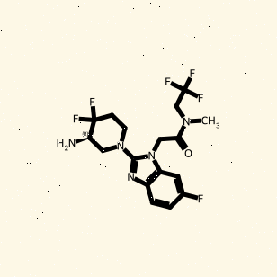 CN(CC(F)(F)F)C(=O)Cn1c(N2CCC(F)(F)[C@H](N)C2)nc2ccc(F)cc21